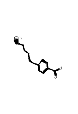 C=CCCCCc1ccc(C(=O)Cl)cc1